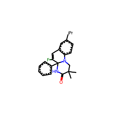 CC(C)c1ccc2c(c1)C=C(F)C1(c3ccccc3)NC(=O)C(C)(C)CN21